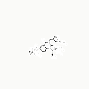 C#C[C@H]1N2C(=NC1(C)C)N(Cc1cnn(C)c1)C(=O)c1cc(S(=O)(=O)NC3(C)CC3)ccc12